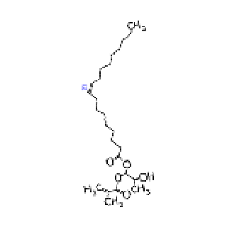 C=C(C)C(=O)OC(OC(=O)CCCCCCC/C=C\CCCCCCCC)C(C)O